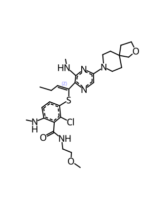 CC/C=C(\Sc1ccc(NC)c(C(=O)NCCOC)c1Cl)c1ncc(N2CCC3(CCOC3)CC2)nc1NC